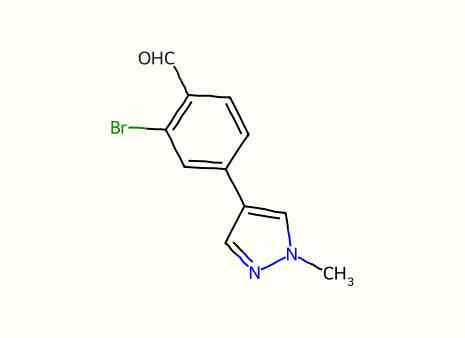 Cn1cc(-c2ccc(C=O)c(Br)c2)cn1